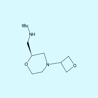 CC(C)(C)NC[C@H]1CN(C2COC2)CCO1